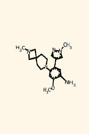 COc1cc(N2CCC3(CC2)CN(C)C3)c(-c2cnn(C)c2)cc1N